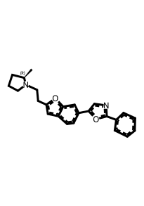 C[C@@H]1CCCN1CCc1cc2ccc(-c3cnc(-c4ccccc4)o3)cc2o1